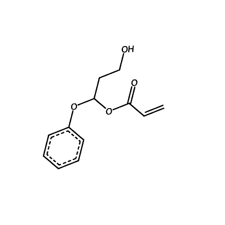 C=CC(=O)OC(CCO)Oc1ccccc1